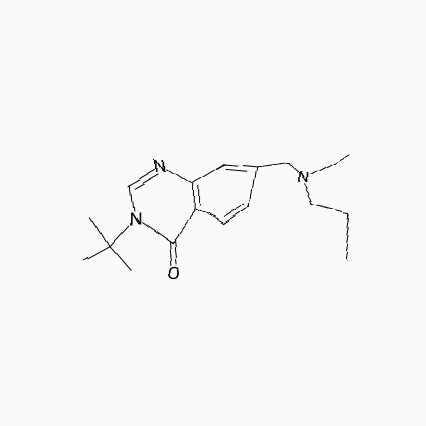 CCCN(C)Cc1ccc2c(=O)n(C(C)(C)C)cnc2c1